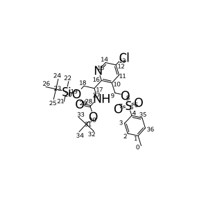 Cc1ccc(S(=O)(=O)OCc2cc(Cl)cnc2C(CO[Si](C)(C)C(C)(C)C)NC(=O)OC(C)(C)C)cc1